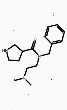 CN(C)CCN(Cc1ccccc1)C(=O)C1CCNC1